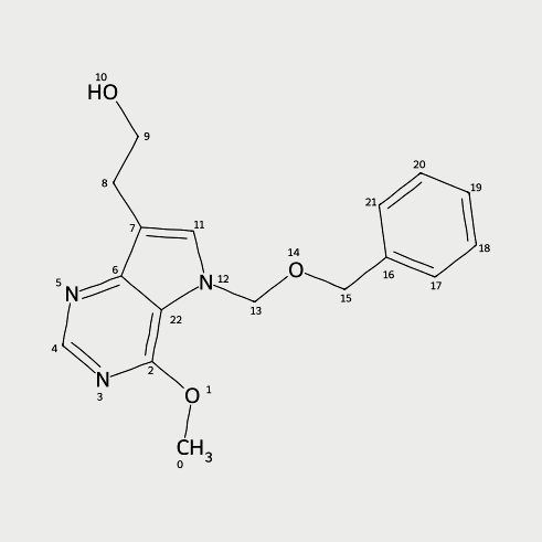 COc1ncnc2c(CCO)cn(COCc3ccccc3)c12